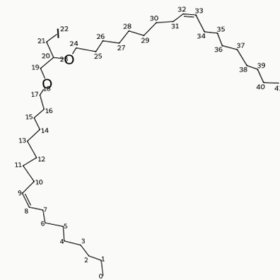 CCCCCCCC/C=C\CCCCCCCCOCC(CI)OCCCCCCCC/C=C\CCCCCCCC